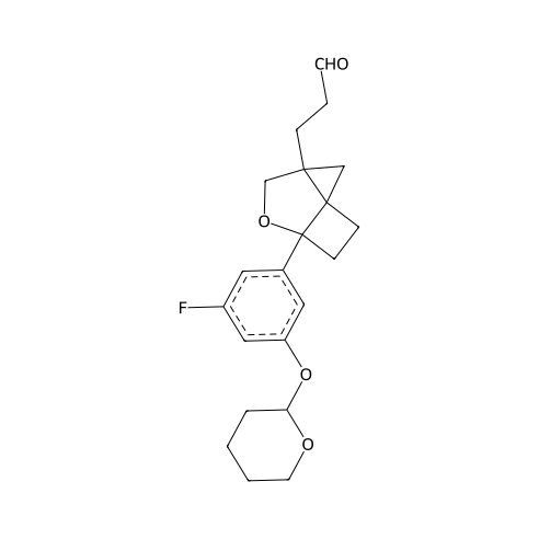 O=CCCC12COC3(c4cc(F)cc(OC5CCCCO5)c4)CCC13C2